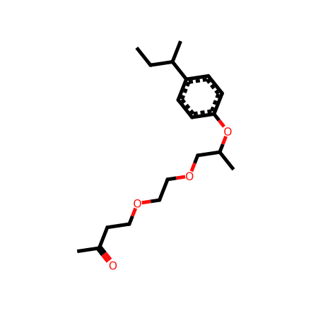 CCC(C)c1ccc(OC(C)COCCOCCC(C)=O)cc1